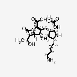 CC(=O)O.C[C@@H](O)[C@H]1C(=O)N2C(C(=O)O)=C(S[C@@H]3CN[C@H](COCCN)C3)[C@H](C)[C@H]12